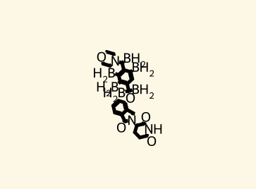 Bc1cc(C(B)(B)Oc2cccc3c2CN(C2CCC(=O)NC2=O)C3=O)c(B)c(B)c1C(B)N1CCOCC1